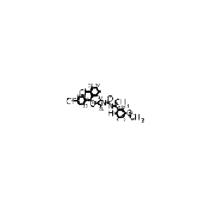 COc1cccc([C@H](C)NC(=O)N2CC(OC(c3ccc(Cl)cc3)c3ccccc3Cl)C2)c1